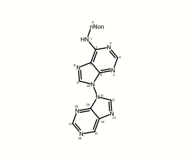 CCCCCCCCCNc1ncnc2c1ncn2-n1cnc2cncnc21